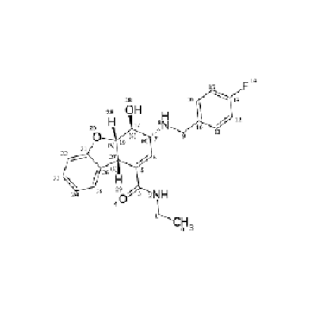 CCNC(=O)C1=C[C@@H](NCc2ccc(F)cc2)[C@H](O)[C@H]2Oc3ccccc3[C@@H]12